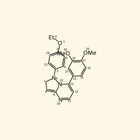 CCOc1ccc(N2CC=C3N=CC=C(c4ccc(OC)c(OC)c4)N32)cc1